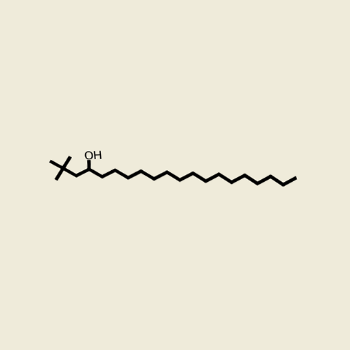 CCCCCCCCCCCCCCCCC(O)CC(C)(C)C